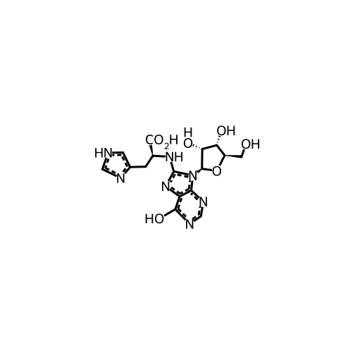 O=C(O)[C@H](Cc1c[nH]cn1)Nc1nc2c(O)ncnc2n1[C@@H]1O[C@H](CO)[C@@H](O)[C@H]1O